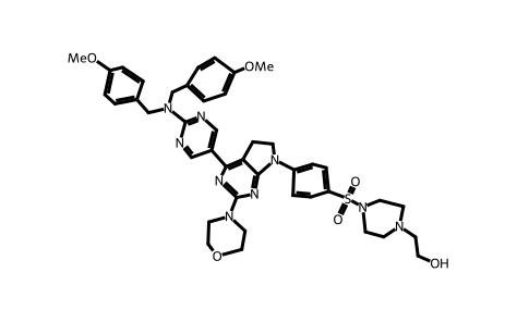 COc1ccc(CN(Cc2ccc(OC)cc2)c2ncc(-c3nc(N4CCOCC4)nc4c3CCN4c3ccc(S(=O)(=O)N4CCN(CCO)CC4)cc3)cn2)cc1